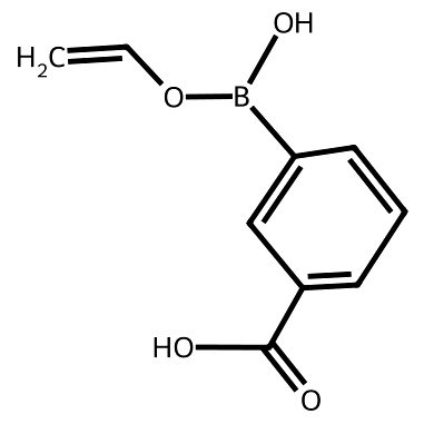 C=COB(O)c1cccc(C(=O)O)c1